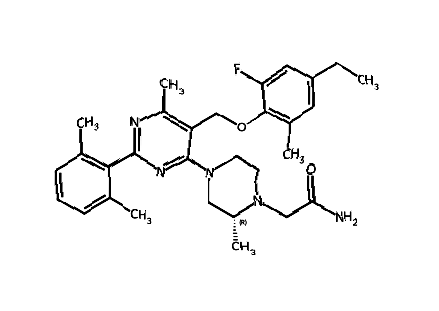 CCc1cc(C)c(OCc2c(C)nc(-c3c(C)cccc3C)nc2N2CCN(CC(N)=O)[C@H](C)C2)c(F)c1